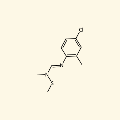 CSN(C)C=Nc1ccc(Cl)cc1C